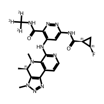 [2H]C([2H])([2H])NC(=O)c1nnc(NC(=O)[C@H]2C[C@H]2F)cc1Nc1nccc2c1N(C)[C@H](C)c1c-2nnn1C